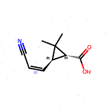 CC1(C)[C@H](/C=C\C#N)[C@H]1C(=O)O